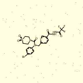 O=C(NNC(=O)C(F)(F)F)c1ccc(CN(C(=O)N2CCS(=O)(=O)CC2)c2ccc(Br)cc2)cc1